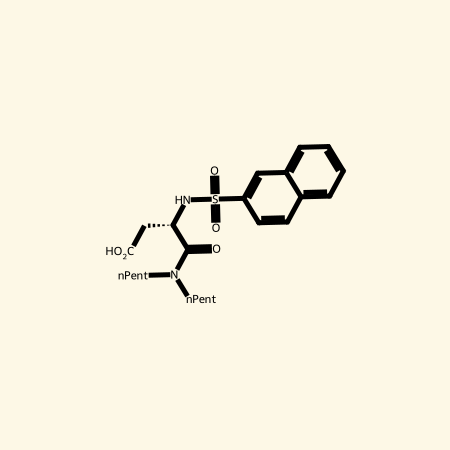 CCCCCN(CCCCC)C(=O)[C@H](CC(=O)O)NS(=O)(=O)c1ccc2ccccc2c1